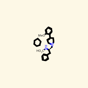 C1CCCCC1.COc1ccccc1C1=CCN(C[C@@H](Cc2ccccc2)NC(=O)O)CC1